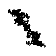 COC(=O)N[C@H](C(=O)N1C[C@@H](F)C[C@H]1c1nc(Cl)c(-c2cc3c4c(c2)OCc2cc(-c5[nH]c([C@@H]6C[C@H](F)CN6C(=O)[C@@H](NC(=O)OC)C(C)C)nc5Cl)cc(c2-4)OC3)[nH]1)C(C)C